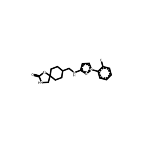 O=C1NCC2(CCC(CNc3ccn(-c4ccccc4F)n3)CC2)O1